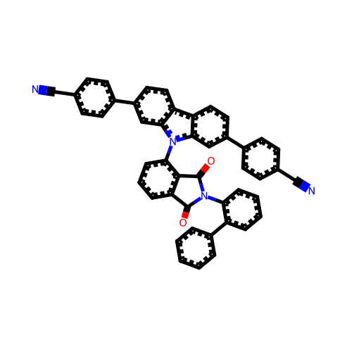 N#Cc1ccc(-c2ccc3c4ccc(-c5ccc(C#N)cc5)cc4n(-c4cccc5c4C(=O)N(c4ccccc4-c4ccccc4)C5=O)c3c2)cc1